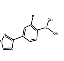 OB(O)c1ccc(-c2ncon2)cc1F